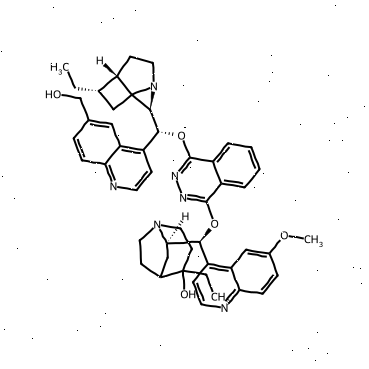 CC[C@H]1CC23[C@H]([C@H](Oc4nnc(O[C@@H](c5ccnc6ccc(OC)cc56)[C@H]5CC6CCN5CCC6(O)CC)c5ccccc45)c4ccnc5ccc(CO)cc45)N2CC[C@@H]13